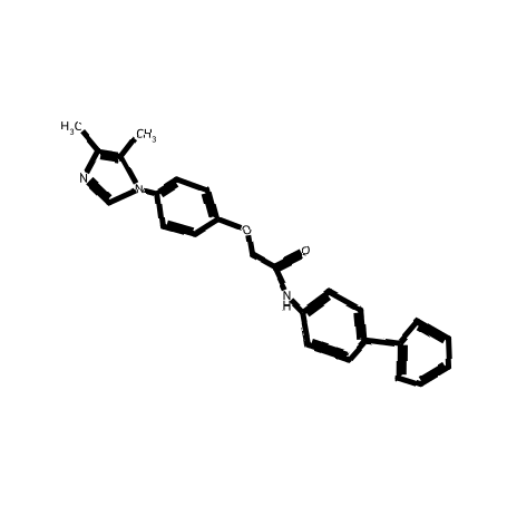 Cc1ncn(-c2ccc(OCC(=O)Nc3ccc(-c4ccccc4)cc3)cc2)c1C